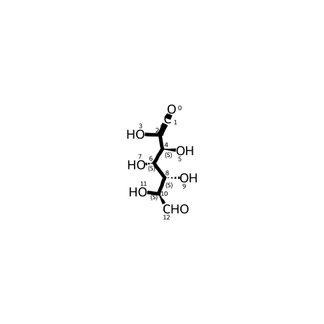 O=C=C(O)[C@@H](O)[C@@H](O)[C@H](O)[C@H](O)C=O